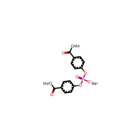 COC(=O)c1ccc(OP(=O)([O-])Oc2ccc(C(=O)OC)cc2)cc1.[Na+]